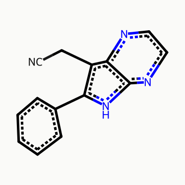 N#CCc1c(-c2ccccc2)[nH]c2nccnc12